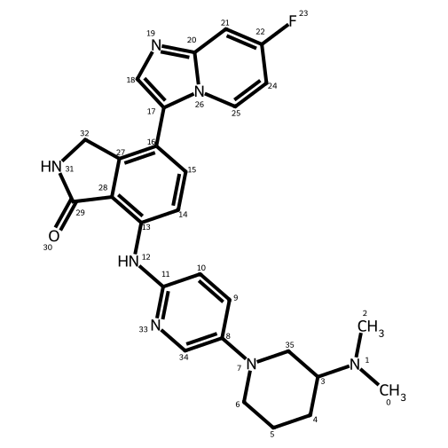 CN(C)C1CCCN(c2ccc(Nc3ccc(-c4cnc5cc(F)ccn45)c4c3C(=O)NC4)nc2)C1